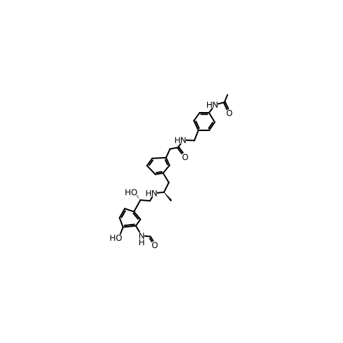 CC(=O)Nc1ccc(CNC(=O)Cc2cccc(C[C@@H](C)NC[C@@H](O)c3ccc(O)c(NC=O)c3)c2)cc1